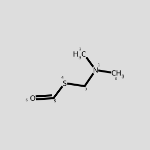 CN(C)CSC=O